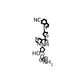 N#Cc1ccc2ccn(Cc3csc(C(=O)c4cncnc4N[C@@H]4C[C@H](COS(N)(=O)=O)[C@@H](O)C4)c3)c2c1